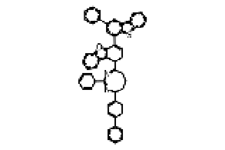 C1=CCC(C2=N/C(C3=CC=C(c4ccccc4)CC3)CCC/C(C3CC=C(c4cc(-c5ccccc5)cc5c4sc4ccccc45)c4oc5ccccc5c43)=N\2)C=C1